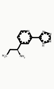 CC[C@H](N)c1ccnc(-c2nnn[nH]2)c1